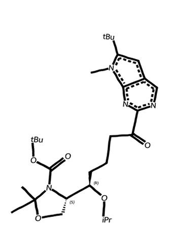 CC(C)O[C@H](CCCC(=O)c1ncc2cc(C(C)(C)C)n(C)c2n1)[C@@H]1COC(C)(C)N1C(=O)OC(C)(C)C